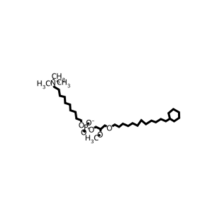 COC(COCCCCCCCCCCCCC1CCCCC1)COP(=O)([O-])OCCCCCCCCCC[N+](C)(C)C